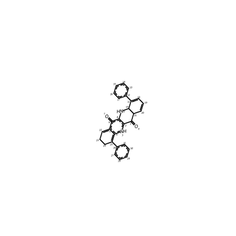 O=C1c2[nH]c3c(c(=O)c2NC2C(c4ccccc4)=CC=CC12)=CCCC=3c1ccccc1